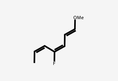 C\C=C/C(F)=C\C=C\OC